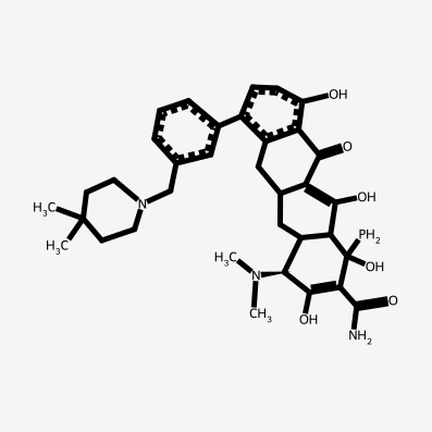 CN(C)[C@@H]1C(O)=C(C(N)=O)C(O)(P)C2C(O)=C3C(=O)c4c(O)ccc(-c5cccc(CN6CCC(C)(C)CC6)c5)c4CC3CC21